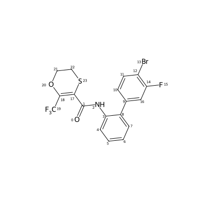 O=C(Nc1ccccc1-c1ccc(Br)c(F)c1)C1=C(C(F)(F)F)OCCS1